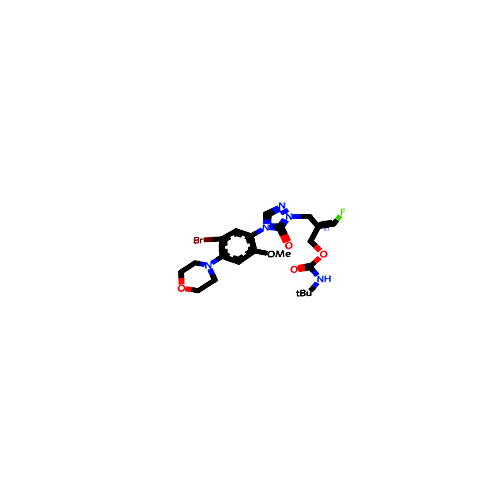 COc1cc(N2CCOCC2)c(Br)cc1-n1cnn(C/C(=C\F)COC(=O)NC(C)(C)C)c1=O